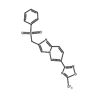 O=S(=O)(Cc1cn2cc(-c3noc(C(F)(F)F)n3)ccc2n1)c1ccccc1